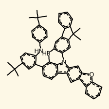 CC(C)(C)c1ccc(Nc2ccc(C(C)(C)C)cc2-c2ccc3c4cc5c(cc4n4c3c2Bc2cc3c(cc2-4)C(C)(C)c2ccccc2-3)oc2ccccc25)cc1